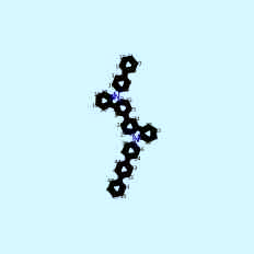 C1=c2c(n(-c3ccc(-c4ccccc4)cc3)c3ccccc23)=CCC1c1ccc2c(c1)c1ccccc1n2-c1ccc(-c2ccc(-c3ccccc3)cc2)cc1